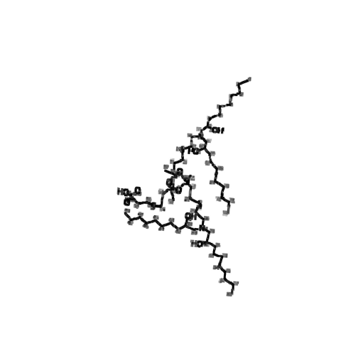 CCCCCCCCC(O)CN(CCSCC[Si]1(C)O[Si](C)(CCSCCN(CC(O)CCCCCCCC)CC(O)CCCCCCCC)O[Si](C)(CCSCCS(=O)(=O)O)O1)CC(O)CCCCCCCC